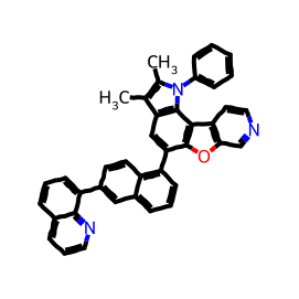 Cc1c(C)n(-c2ccccc2)c2c1cc(-c1cccc3cc(-c4cccc5cccnc45)ccc13)c1oc3cnccc3c12